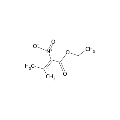 CCOC(=O)C(=C(C)C)[N+](=O)[O-]